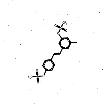 Cc1cc(/C=C/c2ccc(OS(=O)(=O)C(F)(F)F)cc2)cc(OS(=O)(=O)C(F)(F)F)c1